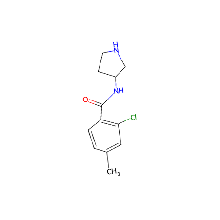 Cc1ccc(C(=O)NC2CCNC2)c(Cl)c1